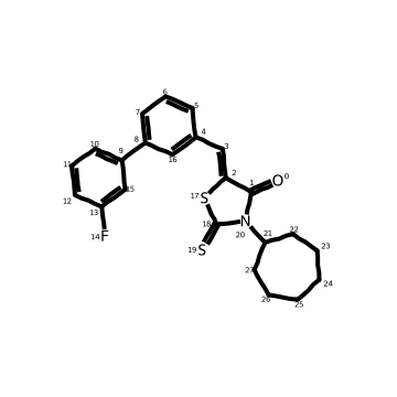 O=C1C(=Cc2cccc(-c3cccc(F)c3)c2)SC(=S)N1C1CCCCCC1